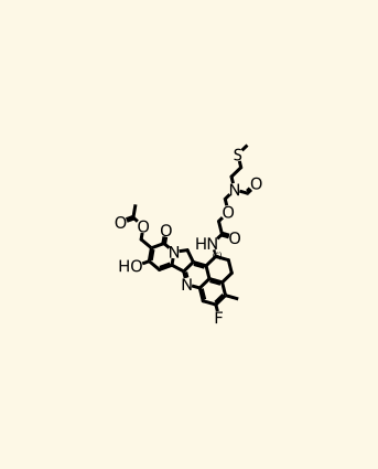 CSCCN(C=O)COCC(=O)N[C@H]1CCc2c(C)c(F)cc3nc4c(c1c23)Cn1c-4cc(O)c(COC(C)=O)c1=O